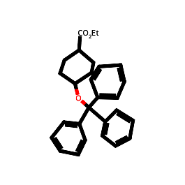 CCOC(=O)C1CCC(OC(c2ccccc2)(c2ccccc2)c2ccccc2)CC1